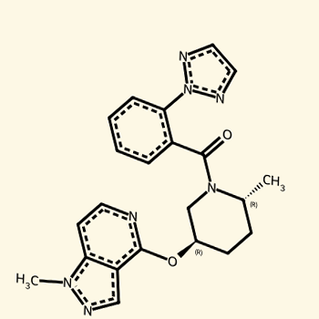 C[C@@H]1CC[C@@H](Oc2nccc3c2cnn3C)CN1C(=O)c1ccccc1-n1nccn1